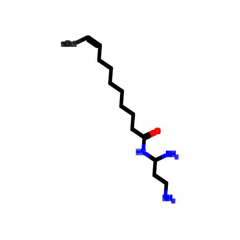 CCCCCCCC/C=C\CCCCCCCC(=O)NC(N)CCN